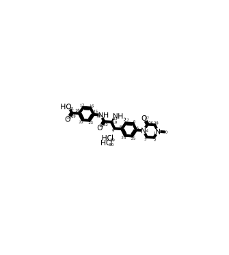 CN1CCN(c2ccc(C[C@H](N)C(=O)Nc3ccc(C(=O)O)cc3)cc2)C(=O)C1.Cl.Cl